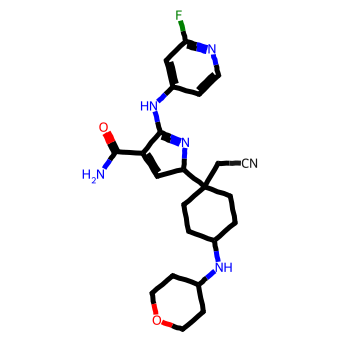 N#CCC1(C2C=C(C(N)=O)C(Nc3ccnc(F)c3)=N2)CCC(NC2CCOCC2)CC1